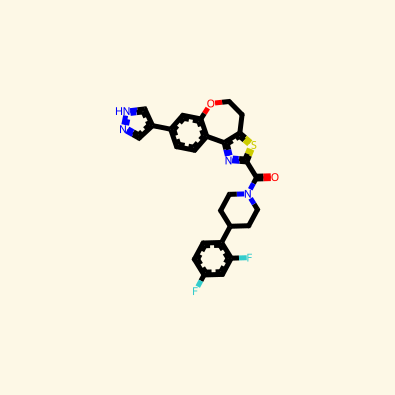 O=C(c1nc2c(s1)CCOc1cc(-c3cn[nH]c3)ccc1-2)N1CCC(c2ccc(F)cc2F)CC1